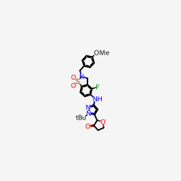 COc1ccc(CN2Cc3c(ccc(Nc4cc(C5OCCC5=O)n(C(C)(C)C)n4)c3F)S2(=O)=O)cc1